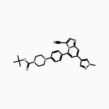 Cn1cc(-c2cc(-c3ccc(N4CCN(C(=O)OC(C)(C)C)CC4)cc3)n3c(C#N)cnc3c2)cn1